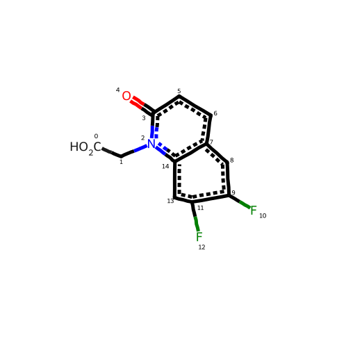 O=C(O)Cn1c(=O)ccc2cc(F)c(F)cc21